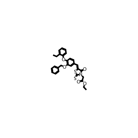 CCOC(=O)CN1C(=O)C(=Cc2ccc(Oc3ccccc3CC)c(OCc3ccccc3)c2)SC1=S